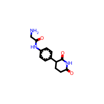 NCC(=O)Nc1ccc(C2CCC(=O)NC2=O)cc1